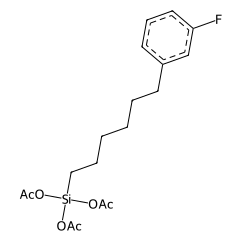 CC(=O)O[Si](CCCCCCc1cccc(F)c1)(OC(C)=O)OC(C)=O